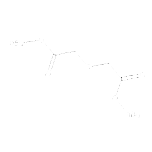 CCCCOC(=O)CSCC(=O)OCCCC